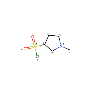 CN1CCC(S(=O)(=O)Cl)C1